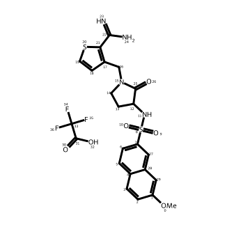 COc1ccc2ccc(S(=O)(=O)NC3CCN(Cc4ccsc4C(=N)N)C3=O)cc2c1.O=C(O)C(F)(F)F